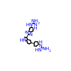 Cn1c(-c2c[nH]c3ccc(-c4ccc(NC(=N)N)cc4)cc23)nc2ccc(NC(=N)N)cc21